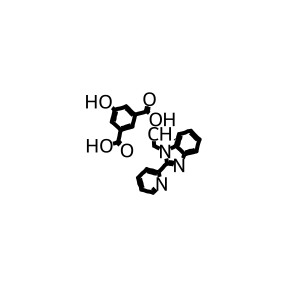 CCn1c(-c2ccccn2)nc2ccccc21.O=C(O)c1cc(O)cc(C(=O)O)c1